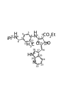 CCOC(=O)C1=C(Nc2ccc(CNC(C)C)cc2C)OC(=Cc2c[nH]c3ncccc23)C1=O